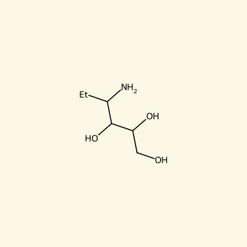 CCC(N)C(O)C(O)CO